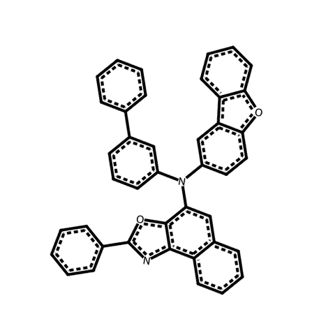 c1ccc(-c2cccc(N(c3ccc4oc5ccccc5c4c3)c3cc4ccccc4c4nc(-c5ccccc5)oc34)c2)cc1